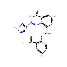 COC(=O)c1cc(F)ccc1N[C@H](C)c1cc(Cl)cc2c(=O)n(C)c(-c3cnn(C)c3)nc12